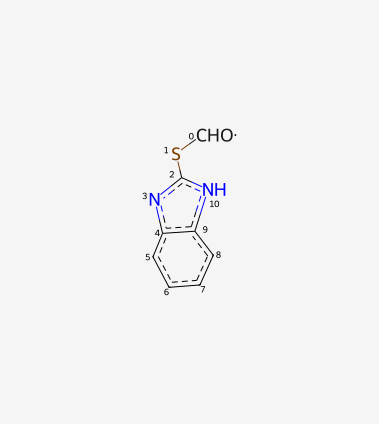 O=[C]Sc1nc2ccccc2[nH]1